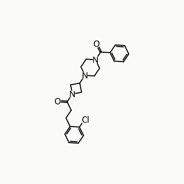 O=C(CCc1ccccc1Cl)N1CC(N2CCN(C(=O)c3ccccc3)CC2)C1